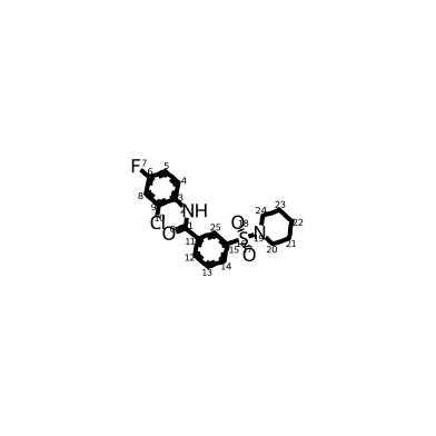 O=C(Nc1ccc(F)cc1Cl)c1cccc(S(=O)(=O)N2CCCCC2)c1